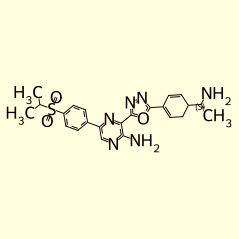 CC(C)S(=O)(=O)c1ccc(-c2cnc(N)c(-c3nnc(C4=CCC([C@H](C)N)C=C4)o3)n2)cc1